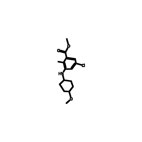 COC(=O)c1cc(Cl)cc(NC2CCC(OC)CC2)c1C